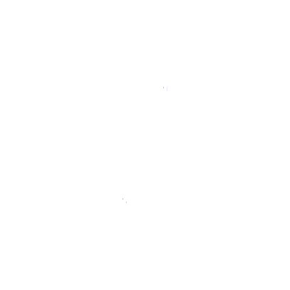 Cc1ccc(N(c2ccc3ccccc3c2)c2ccc3c(-c4ccccc4)c4cc(N(c5ccc(C)cc5)c5ccc6ccccc6c5)ccc4c(-c4ccccc4)c3c2)cc1